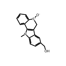 Cn1c2c(c3cc(CO)ccc31)C[S+]([O-])c1ccccc1-2